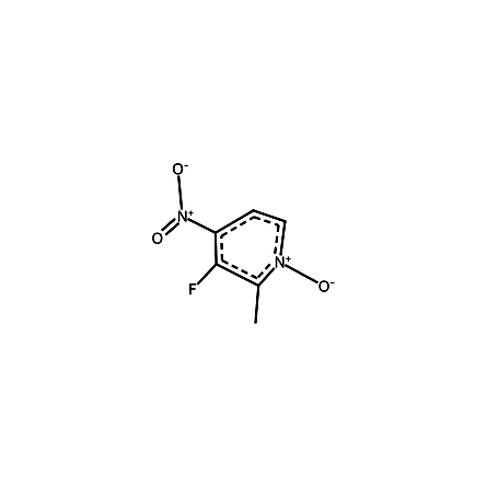 Cc1c(F)c([N+](=O)[O-])cc[n+]1[O-]